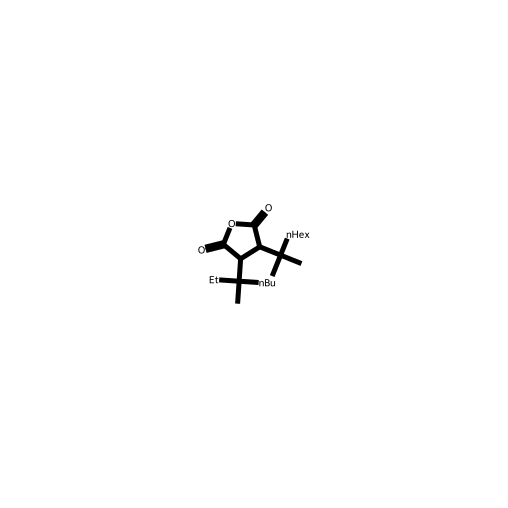 CCCCCCC(C)(C)C1C(=O)OC(=O)C1C(C)(CC)CCCC